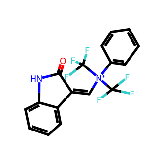 O=C1Nc2ccccc2C1=C[N+](c1ccccc1)(C(F)(F)F)C(F)(F)F